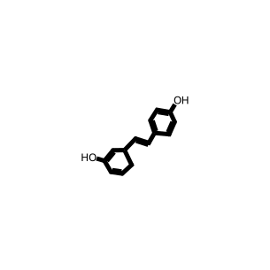 OC1=CC(C=Cc2ccc(O)cc2)CC=C1